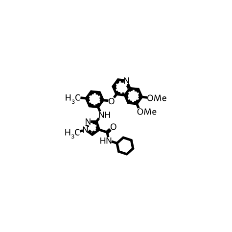 COc1cc2nccc(Oc3ccc(C)cc3Nc3nn(C)cc3C(=O)NC3CCCCC3)c2cc1OC